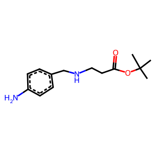 CC(C)(C)OC(=O)CCNCc1ccc(N)cc1